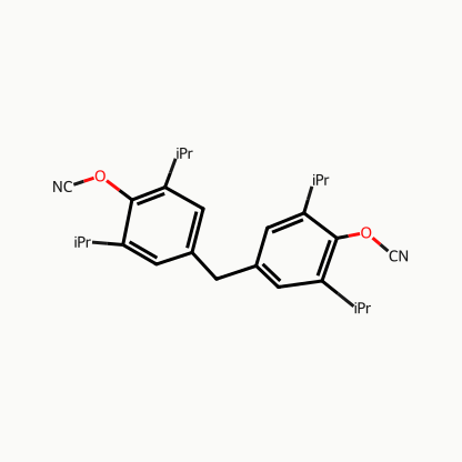 CC(C)c1cc(Cc2cc(C(C)C)c(OC#N)c(C(C)C)c2)cc(C(C)C)c1OC#N